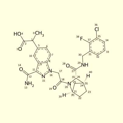 CC(C(=O)O)c1ccc2c(c1)c(C(N)=O)nn2CC(=O)N1[C@@H]2CC[C@@H](C2)[C@H]1C(=O)NCc1cccc(Cl)c1F